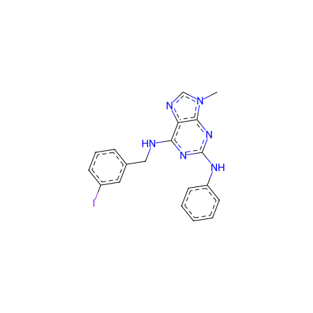 Cn1cnc2c(NCc3cccc(I)c3)nc(Nc3ccccc3)nc21